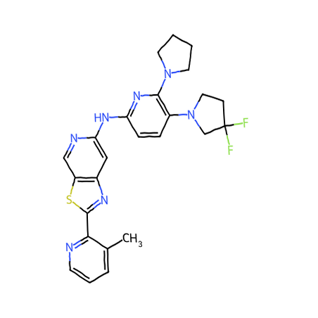 Cc1cccnc1-c1nc2cc(Nc3ccc(N4CCC(F)(F)C4)c(N4CCCC4)n3)ncc2s1